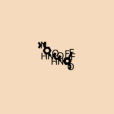 COc1cc(NC(=O)CC(=O)NC2CCC(N(C)C(C)C)CC2)cc(C(F)(F)F)c1